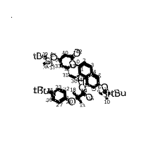 C[C@H]1C=CC2=C[C@@H](O[Si](C)(C)C(C)(C)C)C[C@H](OC(=O)C(C)(C)Oc3ccc(C(C)(C)C)cc3)[C@@H]2[C@H]1CC[C@@H]1C[C@@H](O[Si](C)(C)C(C)(C)C)CC(=O)O1